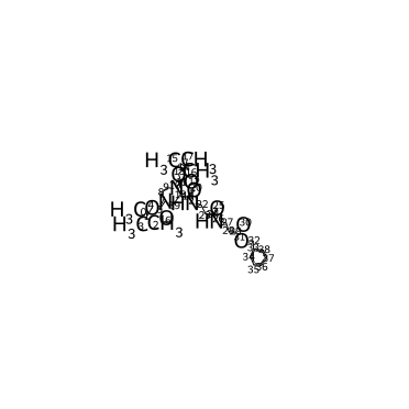 CC(C)(C)OC(=O)N1CCN(C(=O)OC(C)(C)C)C(C(=O)NCCC(=O)NCCC(=O)OCc2ccccc2)C1